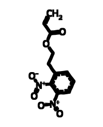 C=CC(=O)OCCc1cccc([N+](=O)[O-])c1[N+](=O)[O-]